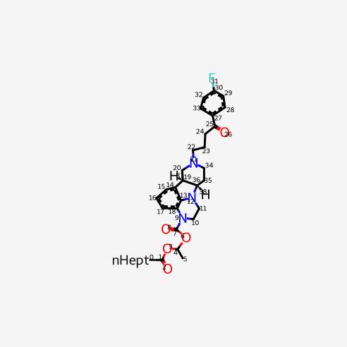 CCCCCCCC(=O)OC(C)OC(=O)N1CCN2c3c(cccc31)[C@@H]1CN(CCCC(=O)c3ccc(F)cc3)CC[C@@H]12